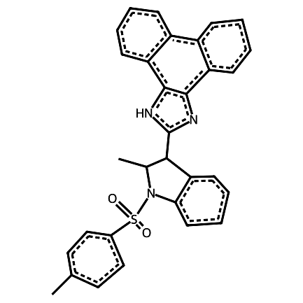 Cc1ccc(S(=O)(=O)N2c3ccccc3C(c3nc4c5ccccc5c5ccccc5c4[nH]3)C2C)cc1